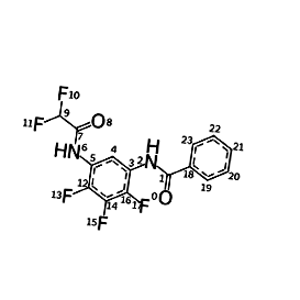 O=C(Nc1cc(NC(=O)C(F)F)c(F)c(F)c1F)c1ccccc1